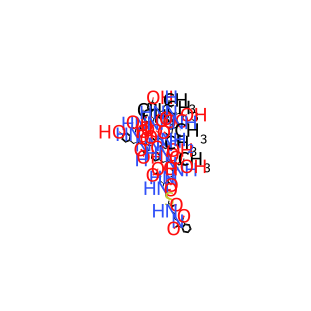 CC[C@H](C)[C@H](NC(=O)[C@H](CO)NC(=O)[C@H](Cc1ccc(O)cc1)NC(=O)[C@H](CC(=O)O)NC(=O)[C@H](CO)NC(=O)[C@@H](NC(=O)[C@H](Cc1ccccc1)NC(=O)[C@@H](NC(=O)CNC(=O)[C@H](CCC(=O)O)NC(=O)CSCC(=O)NCCN1C(=O)c2ccccc2C1=O)[C@@H](C)O)[C@@H](C)O)C(=O)N[C@@H](Cc1ccc(O)cc1)C(=O)N[C@@H](CC(C)C)C(=O)N[C@@H](CC(=O)O)C(=O)N[C@H](C)CCC(N)=O